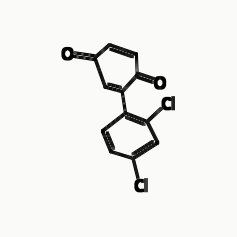 O=C1C=CC(=O)C(c2ccc(Cl)cc2Cl)=C1